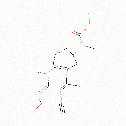 C#C/C=C(\C)C1=C(N(C)/C=N/CBr)CCC(N(C)C(=O)OC(C)(C)C)C1